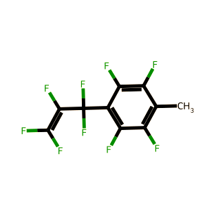 Cc1c(F)c(F)c(C(F)(F)C(F)=C(F)F)c(F)c1F